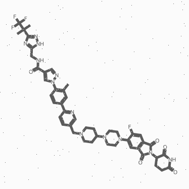 Cc1cc(-c2ccc(CN3CCC(N4CCN(c5cc6c(cc5F)C(=O)N(C5CCC(=O)NC5=O)C6=O)CC4)CC3)cn2)ccc1-n1cc(C(=O)NCc2nc(C(C)(C)C(F)(F)F)n[nH]2)cn1